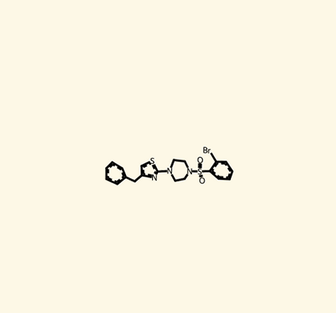 O=S(=O)(c1ccccc1Br)N1CCN(c2nc(Cc3ccccc3)cs2)CC1